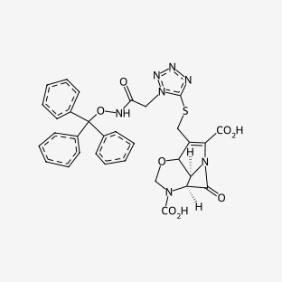 O=C(Cn1nnnc1SCC1=C(C(=O)O)N2C(=O)[C@@H]3[C@H]2C1OCN3C(=O)O)NOC(c1ccccc1)(c1ccccc1)c1ccccc1